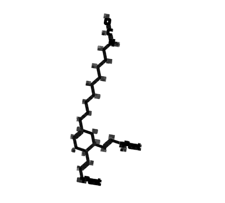 CCCCCC=CC1CC=C(CCCCCCCCCN=C=O)CC1C=CCCCCC